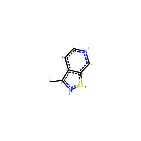 Cc1nsc2cnccc12